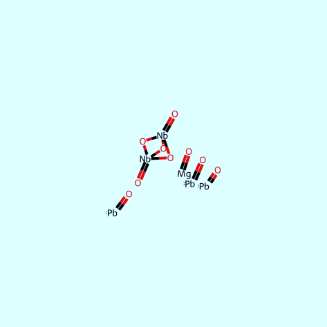 [O]=[Mg].[O]=[Nb]12[O][Nb](=[O])([O]1)[O]2.[O]=[Pb].[O]=[Pb].[O]=[Pb]